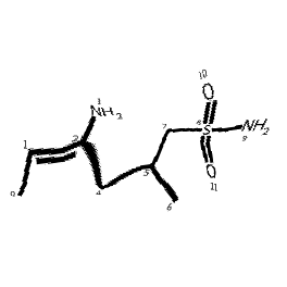 C/C=C(/N)CC(C)CS(N)(=O)=O